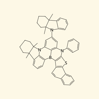 CC12CCCCC1(C)N(c1cc3c4c(c1)N1c5c(cccc5C5(C)CCCCC15C)B4c1c(sc4c1ccc1ccccc14)N3c1ccccc1)c1ccccc12